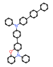 c1ccc(-c2ccc(-c3ccc(N(c4ccccc4)c4ccc(-c5ccc6c(c5)Oc5ccccc5N6c5ccccc5)cc4)cc3)cc2)cc1